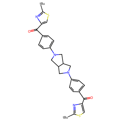 CC(C)(C)c1nc(C(=O)c2ccc(N3CC4CN(c5ccc(C(=O)c6csc(C(C)(C)C)n6)cc5)CC4C3)cc2)cs1